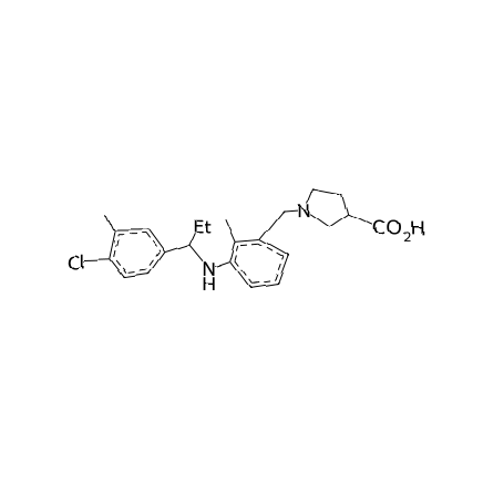 CCC(Nc1cccc(CN2CCC(C(=O)O)C2)c1C)c1ccc(Cl)c(C)c1